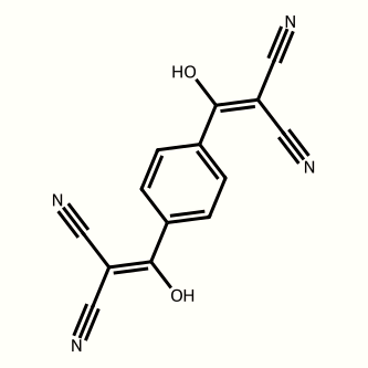 N#CC(C#N)=C(O)c1ccc(C(O)=C(C#N)C#N)cc1